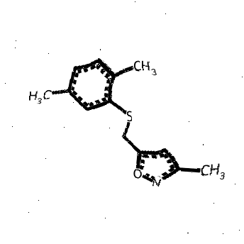 Cc1ccc(C)c(SCc2cc(C)no2)c1